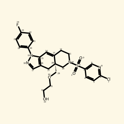 O=S(=O)(c1ccc(Cl)nc1)N1CCC2=Cc3c(cnn3-c3ccc(F)cc3)C[C@]2(COCCO)C1